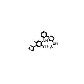 CNC1CCN(c2ccccc2Nc2cc(F)c(-c3cscn3)cc2Cl)C1